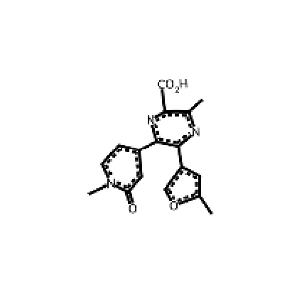 Cc1cc(-c2nc(C)c(C(=O)O)nc2-c2ccn(C)c(=O)c2)co1